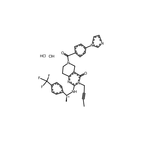 CC#CCn1c(N[C@@H](C)c2ccc(C(F)(F)F)cc2)nc2c(c1=O)CN(C(=O)c1ccc(-n3ccnc3)cc1)CC2.Cl.Cl